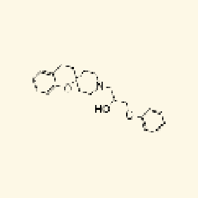 OC(COc1ccccc1)CN1CCC2(CCc3ccccc3O2)CC1